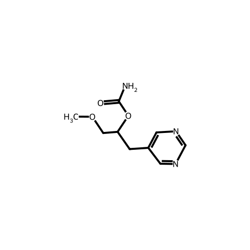 COCC(Cc1cncnc1)OC(N)=O